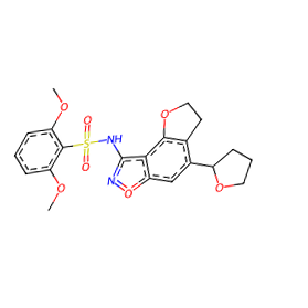 COc1cccc(OC)c1S(=O)(=O)Nc1noc2cc(C3CCCO3)c3c(c12)OCC3